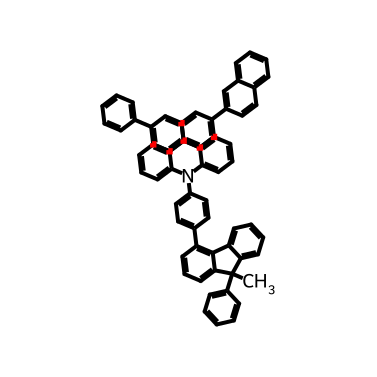 CC1(c2ccccc2)c2ccccc2-c2c(-c3ccc(N(c4ccccc4-c4ccc(-c5ccccc5)cc4)c4ccccc4-c4ccc(-c5ccc6ccccc6c5)cc4)cc3)cccc21